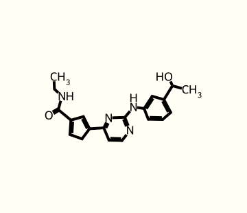 CCNC(=O)C1=CCC(c2ccnc(Nc3cccc(C(C)O)c3)n2)=C1